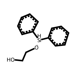 OCCO[SiH](c1ccccc1)c1ccccc1